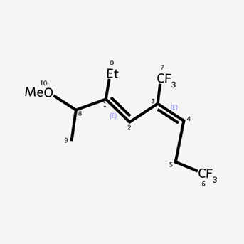 CC/C(=C\C(=C/CC(F)(F)F)C(F)(F)F)C(C)OC